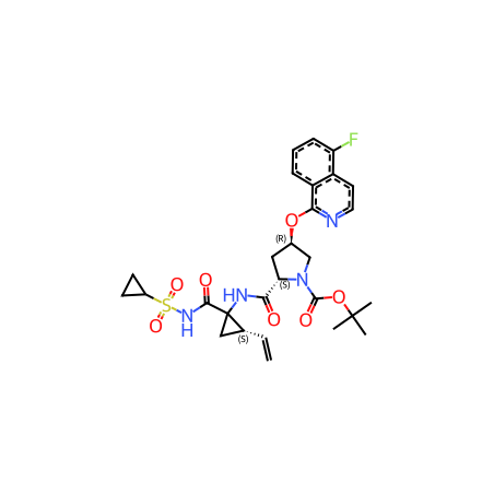 C=C[C@@H]1CC1(NC(=O)[C@@H]1C[C@@H](Oc2nccc3c(F)cccc23)CN1C(=O)OC(C)(C)C)C(=O)NS(=O)(=O)C1CC1